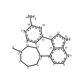 CN1CCCN(c2ccnc3[nH]cc(-c4ccnc(N)n4)c23)CC1